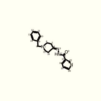 O=C(NN=C1CCN(Cc2ccccc2)CC1)c1cccnc1